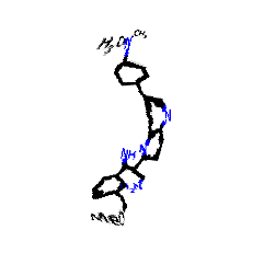 COCc1cccc(C(=N)/C(=C\N)c2ccc3ncc(C4=CCC(N(C)C)CC4)cc3n2)c1